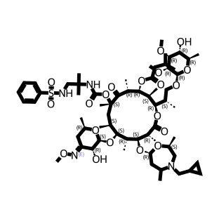 CO/N=C1\C[C@@H](C)O[C@@H](O[C@@H]2[C@@H](C)[C@H](O[C@H]3CC(C)N(CC4CC4)C[C@H](C)O3)[C@@H](C)C(=O)O[C@H]([C@@H](C)CO[C@@H]3O[C@H](C)[C@@H](O)[C@@H](OC)[C@H]3OC)[C@H](C)[C@@H](OC(=O)CC(C)C)[C@@H](C)C(=O)[C@@](C)(OC(=O)NC(C)(C)CNS(=O)(=O)c3ccccc3)C[C@@H]2C)[C@@H]1O